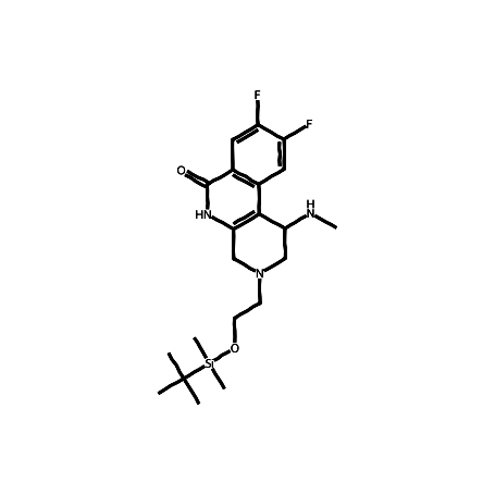 CNC1CN(CCO[Si](C)(C)C(C)(C)C)Cc2[nH]c(=O)c3cc(F)c(F)cc3c21